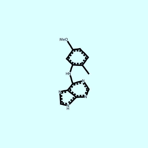 COc1ccc(C)c(Nc2ncnc3[nH]cnc23)c1